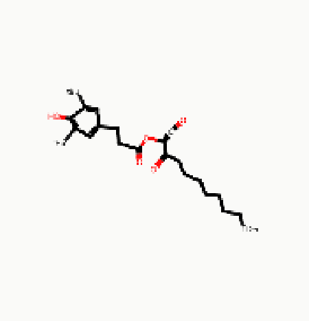 CCCCCCCCCCCCCCCCCC(=O)C(=C=O)OC(=O)CCc1cc(C(C)(C)C)c(O)c(C(C)(C)C)c1